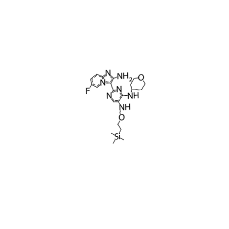 C[Si](C)(C)CCOCNc1cnc(-c2c(N)nc3ccc(F)cn23)nc1NC1CCOCC1